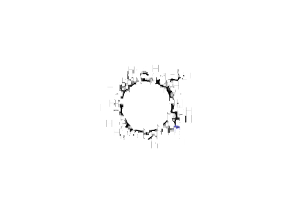 C/C=C/C[C@@H](C)[C@@H](O)[C@H]1C(=O)N[C@H](CC)C(=O)N(C)[C@H](COCCN(CC)CC)C(=O)N(C)[C@@H](CC(C)(C)O)C(=O)N[C@H](C(C)C)C(=O)N(C)[C@H](CC(C)C)C(=O)N[C@H](C)C(=O)N[C@@H](C)C(=O)N(C)[C@@H](CC(C)C)C(=O)N(C)[C@H](CCC(C)C)C(=O)N(C)[C@H](C(C)C)C(=O)N1C